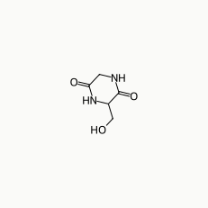 O=C1CNC(=O)C(CO)N1